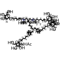 CC(=O)N[C@H]1[C@H](OCCCCCN(N)/C=C(\N)CN(C/C(=C/NCCCCCO[C@@H]2O[C@H](CO)[C@H](O)[C@H](O)[C@H]2C)N=N)C(CCCCN(Cc2cn(CCCCCO[C@@H]3O[C@H](CO)[C@H](O)[C@H](O)[C@H]3C)nn2)Cc2cn(CCCCCO[C@@H]3O[C@H](CO)C(O)C(O)[C@H]3NC(C)=O)nn2)C(C)(C)C)O[C@H](CO)[C@H](O)[C@@H]1O